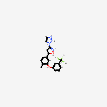 Cc1ccc(C2CC(n3ccnn3)=NO2)cc1Oc1cccc(C(F)(F)F)c1